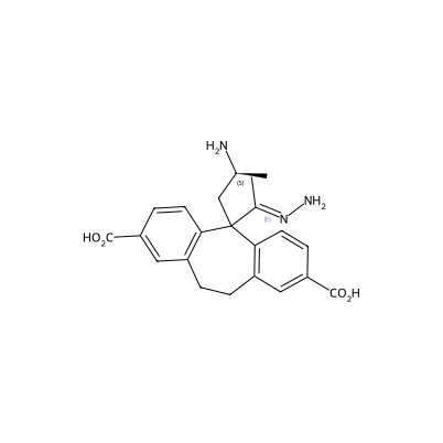 C/C(=N\N)C1(C[C@H](C)N)c2ccc(C(=O)O)cc2CCc2cc(C(=O)O)ccc21